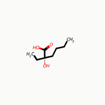 CCCC[C@@](O)(CC)C(=O)O